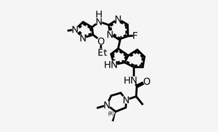 CCOc1nn(C)cc1Nc1ncc(F)c(-c2c[nH]c3c(NC(=O)C(C)N4CCN(C)[C@H](C)C4)cccc23)n1